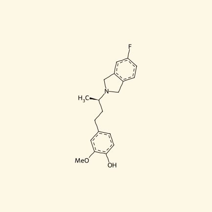 COc1cc(CC[C@@H](C)N2Cc3ccc(F)cc3C2)ccc1O